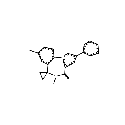 CN1C(=O)c2cc(-c3ccccc3)cn2-c2ccc(Br)cc2C12CC2